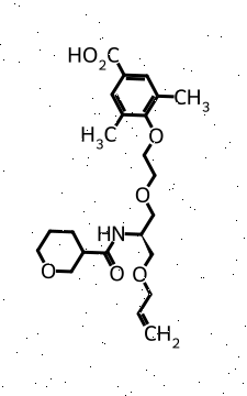 C=CCOC[C@H](COCCOc1c(C)cc(C(=O)O)cc1C)NC(=O)C1CCCOC1